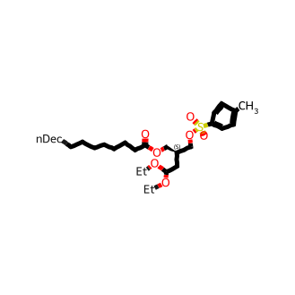 CCCCCCCCCCCCCCCCCC(=O)OC[C@@H](COS(=O)(=O)c1ccc(C)cc1)CC(OCC)OCC